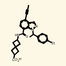 CC#Cc1ccc(C(=O)NC2CC3(C2)CC(C(=O)O)C3)c2c1cnn2C(C)c1ccc(CC)cc1